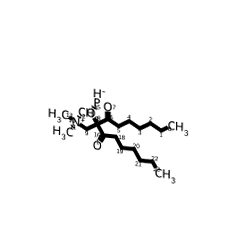 CCCCCCC(=O)C(C[N+](C)(C)C)(O[PH-])C(=O)CCCCCC